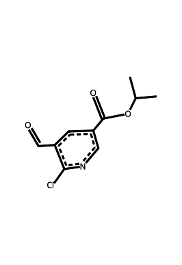 CC(C)OC(=O)c1cnc(Cl)c(C=O)c1